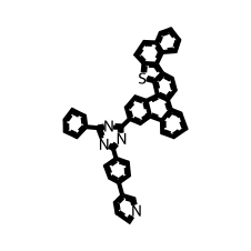 c1ccc(-c2nc(-c3ccc(-c4cccnc4)cc3)nc(-c3ccc4c(c3)c3ccccc3c3ccc5c(sc6ccc7ccccc7c65)c34)n2)cc1